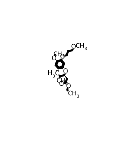 CCOC(=O)C[C@H](Oc1ccc(OC)c(OCCCOC)c1)C(C)C